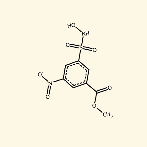 COC(=O)c1cc([N+](=O)[O-])cc(S(=O)(=O)NO)c1